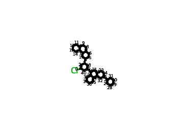 Clc1cc(-c2ccc3ccc4ccccc4c3c2)cc(-c2cc3ccc(-c4ccccc4)cc3c3ccccc23)c1